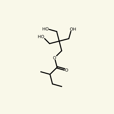 CCC(C)C(=O)OCC(CO)(CO)CO